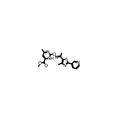 COC(=O)C1=CC(C)=NC(O/N=C(\C)c2sc(-c3cccnc3)nc2C)N1